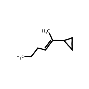 CCCC=C(C)C1CC1